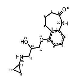 O=C1CCCc2c(cccc2OCC(O)CNC2CC2)N1